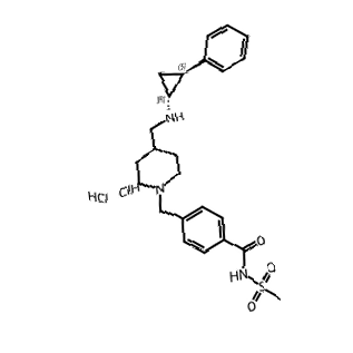 CS(=O)(=O)NC(=O)c1ccc(CN2CCC(CN[C@@H]3C[C@H]3c3ccccc3)CC2)cc1.Cl.Cl